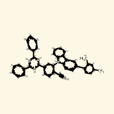 Cc1ccc(-c2ccc3c(c2)c2ccccc2n3-c2cc(-c3nc(-c4ccccc4)nc(-c4ccccc4)n3)ccc2C#N)c(C)c1